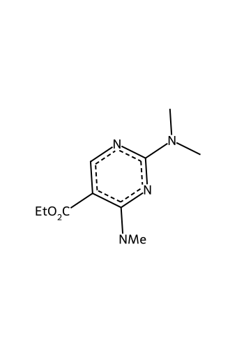 CCOC(=O)c1cnc(N(C)C)nc1NC